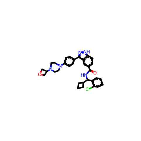 O=C(NC(c1ccccc1Cl)C1CCC1)c1ccc2[nH]nc(-c3ccc(N4CCN(C5COC5)CC4)cc3)c2c1